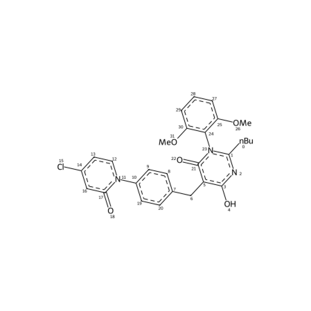 CCCCc1nc(O)c(Cc2ccc(-n3ccc(Cl)cc3=O)cc2)c(=O)n1-c1c(OC)cccc1OC